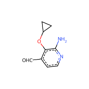 Nc1nccc(C=O)c1OC1CC1